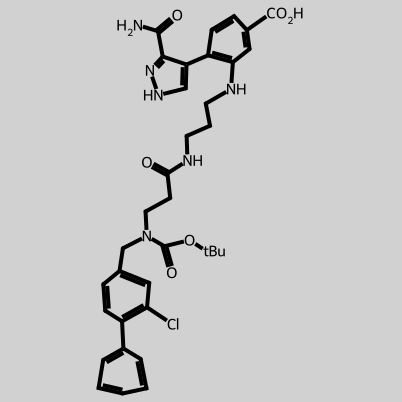 CC(C)(C)OC(=O)N(CCC(=O)NCCCNc1cc(C(=O)O)ccc1-c1c[nH]nc1C(N)=O)Cc1ccc(-c2ccccc2)c(Cl)c1